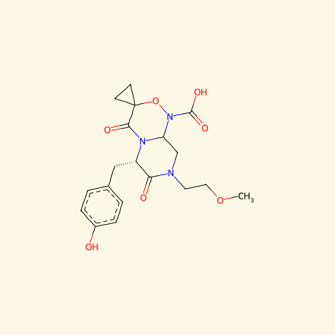 COCCN1CC2N(C(=O)O)OC3(CC3)C(=O)N2[C@@H](Cc2ccc(O)cc2)C1=O